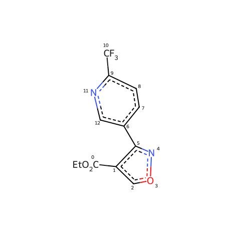 CCOC(=O)c1conc1-c1ccc(C(F)(F)F)nc1